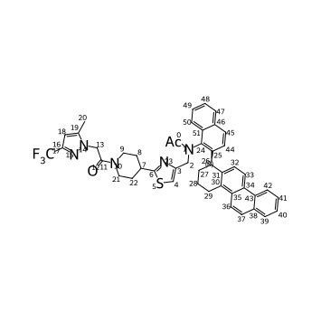 CC(=O)N(Cc1csc(C2CCN(C(=O)Cn3nc(C(F)(F)F)cc3C)CC2)n1)c1c([C@@H]2CCCc3c2ccc2c3ccc3ccccc32)ccc2ccccc12